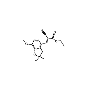 CCOC(=O)/C(C#N)=C/c1ccc(OC)c2c1CC(C)(C)O2